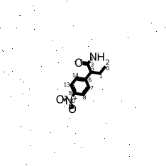 CCC(C(N)=O)c1ccc([N+](=O)[O-])cc1